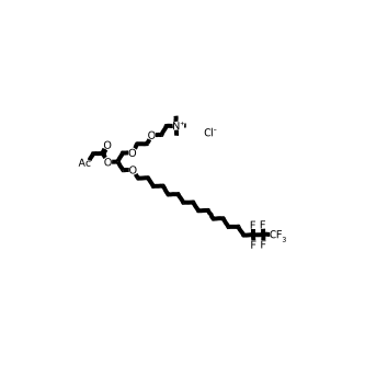 CC(=O)CC(=O)OC(COCCCCCCCCCCCCCCCC(F)(F)C(F)(F)C(F)(F)F)COCCOCC[N+](C)(C)C.[Cl-]